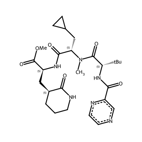 COC(=O)[C@H](C[C@@H]1CCCNC1=O)NC(=O)[C@H](CC1CC1)N(C)C(=O)[C@@H](NC(=O)c1cnccn1)C(C)(C)C